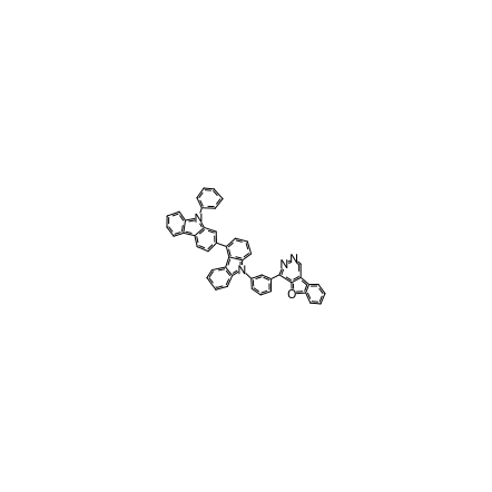 c1ccc(-n2c3ccccc3c3ccc(-c4cccc5c4c4ccccc4n5-c4cccc(-c5nncc6c5oc5ccccc56)c4)cc32)cc1